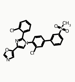 CS(=O)(=O)c1cccc(-c2ccc(-n3cc(-c4cnco4)nc3-c3ccccc3Cl)c(Cl)c2)c1